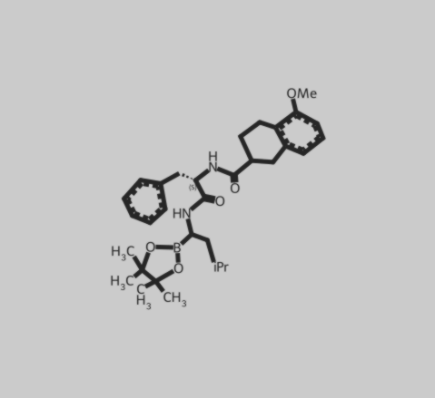 COc1cccc2c1CCC(C(=O)N[C@@H](Cc1ccccc1)C(=O)NC(CC(C)C)B1OC(C)(C)C(C)(C)O1)C2